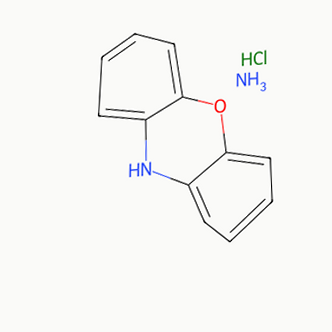 Cl.N.c1ccc2c(c1)Nc1ccccc1O2